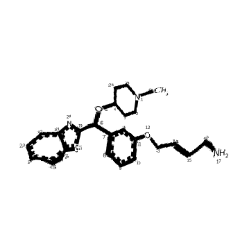 CN1CCC(OC(c2cccc(OCC=CCN)c2)c2nc3ccccc3s2)CC1